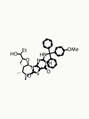 CC[C@H](O)[C@@H]1C[C@@H]([C@@H](C)N(C)C)[C@H](n2c(=O)sc3c(=O)[nH]c(NC(c4ccccc4)(c4ccccc4)c4ccc(OC)cc4)nc32)O1